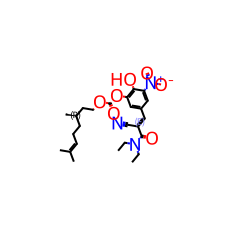 CCN(CC)C(=O)/C(C#N)=C/c1cc(OC(=O)OCC[C@H](C)CCC=C(C)C)c(O)c([N+](=O)[O-])c1